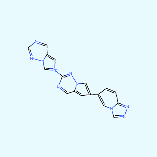 c1ncc2c[n+](-c3ncc4cc(-c5ccc6nncn6c5)cn4n3)cn2n1